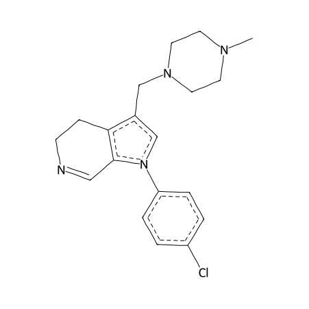 CN1CCN(Cc2cn(-c3ccc(Cl)cc3)c3c2CCN=C3)CC1